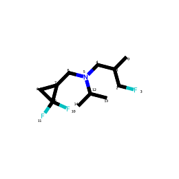 CC(CF)CN(CC1CC1(F)F)C(C)C